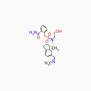 C/N=C\C1=CC=C2CC[C@H](CN(CCO)S(=O)(=O)Cc3ccccc3C(N)=O)[C@@]2(C)C1